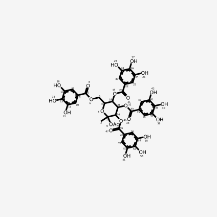 CC(=O)OC1(C)OC(COC(=O)c2cc(O)c(O)c(O)c2)C(OC(=O)c2cc(O)c(O)c(O)c2)C(OC(=O)c2cc(O)c(O)c(O)c2)C1OC(=O)c1cc(O)c(O)c(O)c1